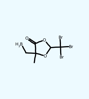 BCC1(C)OC(C(Br)(Br)Br)OC1=O